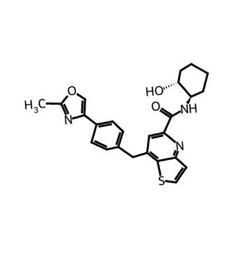 Cc1nc(-c2ccc(Cc3cc(C(=O)N[C@@H]4CCCC[C@H]4O)nc4ccsc34)cc2)co1